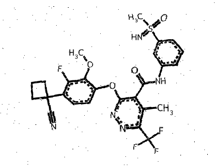 COc1c(Oc2nnc(C(F)(F)F)c(C)c2C(=O)Nc2cccc(S(C)(=N)=O)c2)ccc(C2(C#N)CCC2)c1F